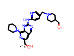 C[C@@H](O)c1cc2cnc(Nc3ccc(CN4CCC(CO)CC4)cn3)nc2c(N2CCCCC2)n1